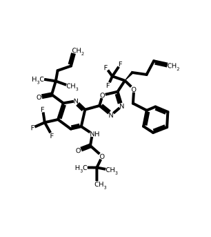 C=CCC[C@@](OCc1ccccc1)(c1nnc(-c2nc(C(=O)C(C)(C)CC=C)c(C(F)(F)F)cc2NC(=O)OC(C)(C)C)o1)C(F)(F)F